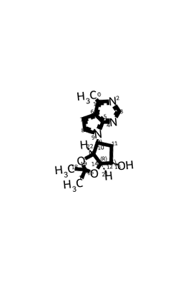 Cc1ncnc2c1ccn2[C@@H]1C[C@H](O)[C@H]2OC(C)(C)O[C@H]21